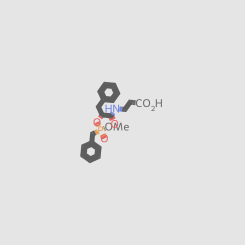 COP(=O)(Cc1ccccc1)OC(Cc1ccccc1)C(=O)NCCC(=O)O